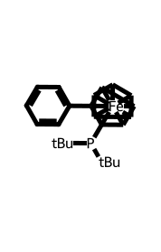 CC(C)(C)P(C(C)(C)C)[C]12[CH]3[CH]4[CH]5[C]1(c1ccccc1)[Fe]45321678[CH]2[CH]1[CH]6[CH]7[CH]28